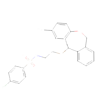 O=C(O)c1ccc2c(c1)C(SCCNS(=O)(=O)c1ccc(F)cc1)c1ccccc1CO2